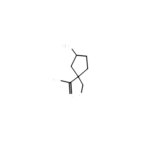 CCC1(C(=O)O)CCC(C)C1